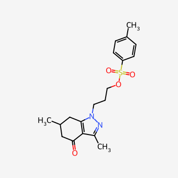 Cc1ccc(S(=O)(=O)OCCCn2nc(C)c3c2CC(C)CC3=O)cc1